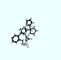 NCc1ccccc1-c1nnc(C2(c3cccs3)CCCC2)n1C1CC1